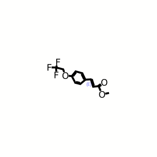 COC(=O)/C=C/c1ccc(OCC(F)(F)F)cc1